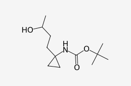 CC(O)CCC1(NC(=O)OC(C)(C)C)CC1